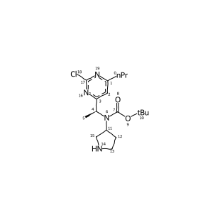 CCCc1cc([C@H](C)N(C(=O)OC(C)(C)C)C2CCNC2)nc(Cl)n1